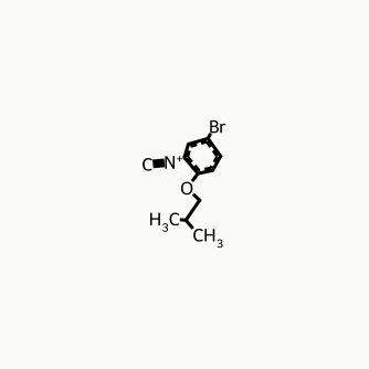 [C-]#[N+]c1cc(Br)ccc1OCC(C)C